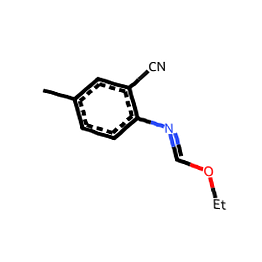 CCO/C=N/c1ccc(C)cc1C#N